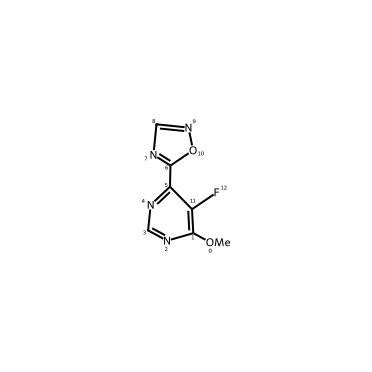 COc1ncnc(-c2ncno2)c1F